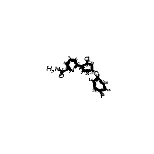 NC(=O)c1cccc(-c2ccc(Oc3ccc(F)cc3)cc2Cl)n1